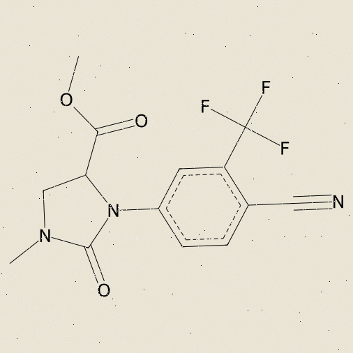 COC(=O)C1CN(C)C(=O)N1c1ccc(C#N)c(C(F)(F)F)c1